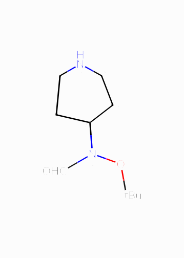 CC(C)(C)ON(C=O)C1CCNCC1